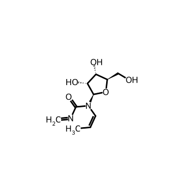 C=NC(=O)N(/C=C\C)[C@@H]1O[C@H](CO)[C@@H](O)[C@H]1O